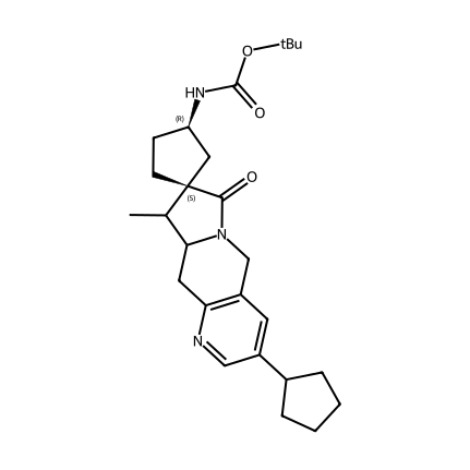 CC1C2Cc3ncc(C4CCCC4)cc3CN2C(=O)[C@]12CC[C@@H](NC(=O)OC(C)(C)C)C2